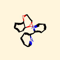 c1ccc(-c2ccccn2)nc1.c1ccc2c(c1)OCCO2